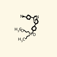 CCCCN(CCCOC)C(=O)c1ccc(-c2ccc3ncc(-c4ccc(C#N)cc4)n3c2)cc1